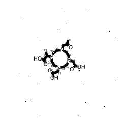 CC(=O)CN1CCN(CC(=O)O)CCN(CC(=O)O)CCN(C(C)C(=O)O)CC1